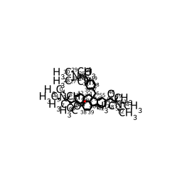 CCN(CC)C(C)(C)C(=O)c1ccc(CC2(Cc3ccc(C(=O)C(C)(C)N(CC)CC)cc3)c3cc(OC)ccc3-c3ccc(C(=O)C(C)(C)N(CC)CC)cc32)cc1